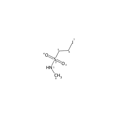 CNS(=O)(=O)CCI